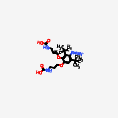 CC(C)(C)c1cc(OCCCNC(=O)O)c(OCCCNC(=O)O)c(C(C)(C)C)c1N=[N+]=[N-]